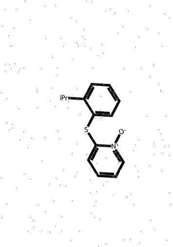 CC(C)c1ccccc1Sc1cccc[n+]1[O-]